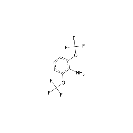 Nc1c(OC(F)(F)F)cccc1OC(F)(F)F